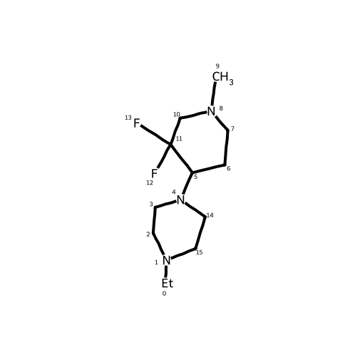 CCN1CCN(C2CCN(C)CC2(F)F)CC1